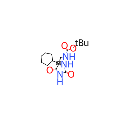 CC(C)(C)OC(=O)NC[C@@]1(C2CCCCC2)NC(=O)NC1=O